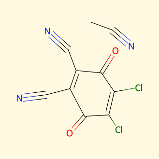 CC#N.N#CC1=C(C#N)C(=O)C(Cl)=C(Cl)C1=O